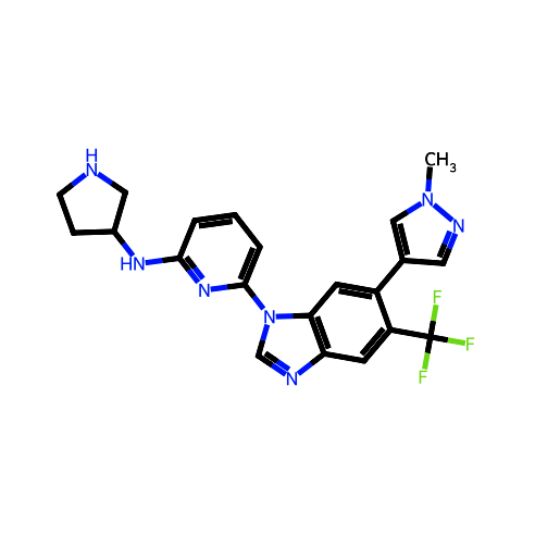 Cn1cc(-c2cc3c(cc2C(F)(F)F)ncn3-c2cccc(NC3CCNC3)n2)cn1